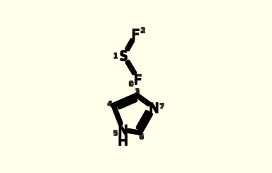 FSF.c1c[nH]cn1